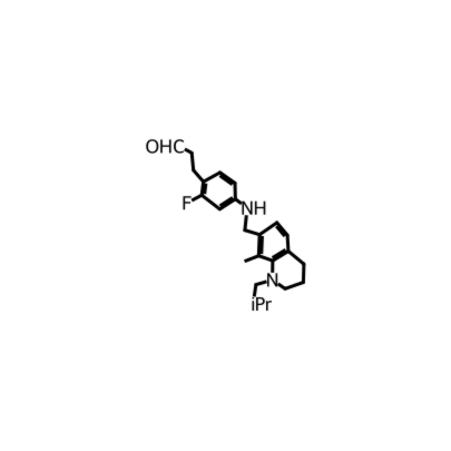 Cc1c(CNc2ccc(CCC=O)c(F)c2)ccc2c1N(CC(C)C)CCC2